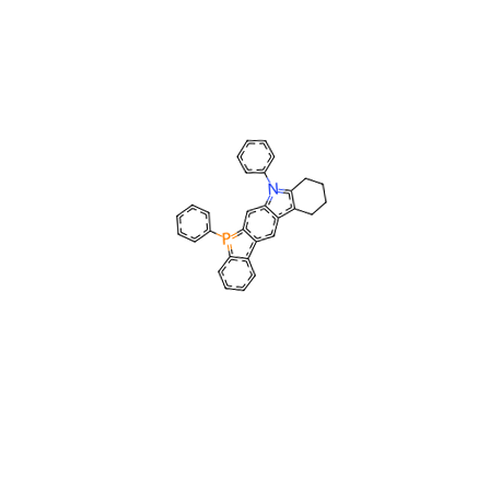 c1ccc(-n2c3c(c4cc5c6ccccc6p(-c6ccccc6)c5cc42)CCCC3)cc1